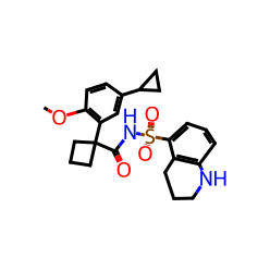 COc1ccc(C2CC2)cc1C1(C(=O)NS(=O)(=O)c2cccc3c2CCCN3)CCC1